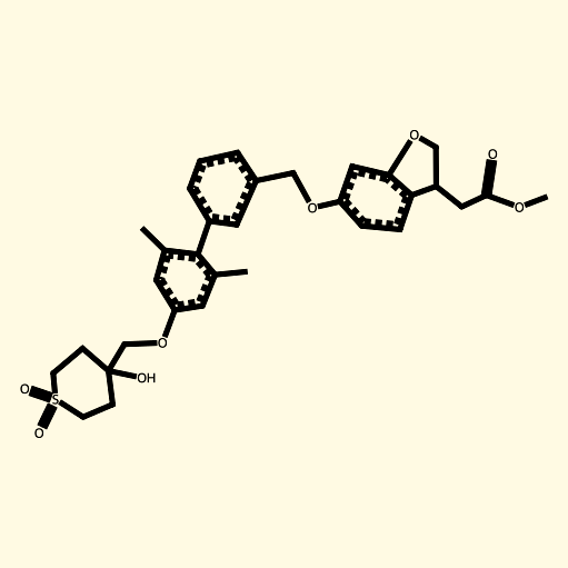 COC(=O)CC1COc2cc(OCc3cccc(-c4c(C)cc(OCC5(O)CCS(=O)(=O)CC5)cc4C)c3)ccc21